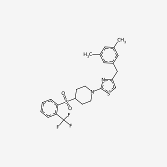 Cc1cc(C)cc(Cc2csc(N3CCC(S(=O)(=O)c4ccccc4C(F)(F)F)CC3)n2)c1